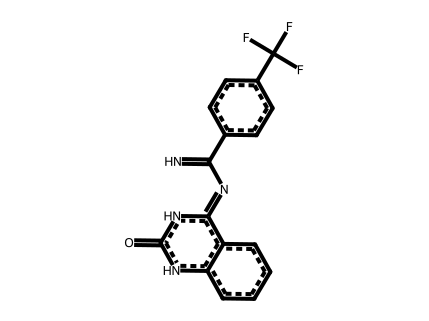 N=C(/N=c1\[nH]c(=O)[nH]c2ccccc12)c1ccc(C(F)(F)F)cc1